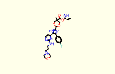 C=CC(N)OC(=O)C1(C)COC(c2nc(-c3ccc(F)cc3)c(-c3ccnc(NCCCN4CCOCC4)n3)[nH]2)OC1